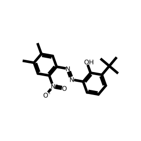 Cc1cc(N=Nc2cccc(C(C)(C)C)c2O)c([N+](=O)[O-])cc1C